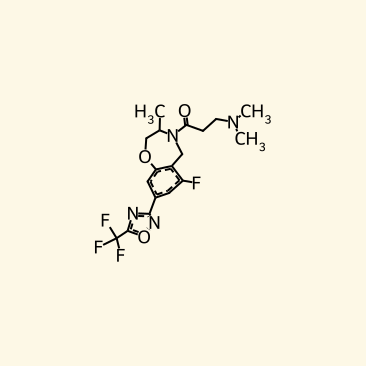 CC1COc2cc(-c3noc(C(F)(F)F)n3)cc(F)c2CN1C(=O)CCN(C)C